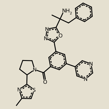 Cc1csc(C2CCCN2C(=O)c2cc(-c3cncnc3)cc(-c3nnc(C(C)(N)Cc4ccccc4)o3)c2)n1